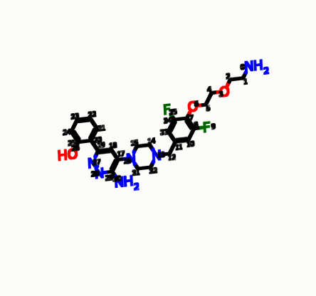 NCCOCCOc1c(F)cc(CN2CCN(c3cc(-c4ccccc4O)nnc3N)CC2)cc1F